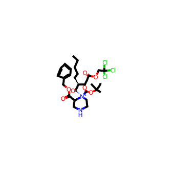 CCCCC[C@@H](CC(=O)OCC(Cl)(Cl)Cl)C(=O)[N@+]1(C(=O)OC(C)(C)C)CCNCC1C(=O)OCc1ccccc1